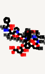 C#CCC(OC(=O)N(C)[C@H](C(=O)N[C@H](C(=O)N(C)[C@@H]([C@@H](C)CC)[C@@H](CC(=O)N1CCC[C@H]1[C@H](OC)[C@@H](C)C(=O)N[C@H](C)[C@@H](O)c1ccccc1)OC)C(C)C)C(C)C)c1ccc(O[C@@H]2O[C@H](C(=O)O)C[C@H](O)[C@H]2O)c2cc(CCC(=O)O)sc12